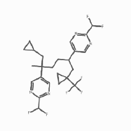 CC(CCC(CC1(C(F)(F)F)CC1)c1cnc(C(F)F)nc1)(CC1CC1)c1cnc(C(F)F)nc1